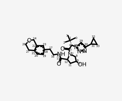 CC(C)(C)[C@@H](C(=O)N1CC(O)CC1C(=O)NCCc1ccc2c(c1)COCC2)n1cc(C2CC2)nn1